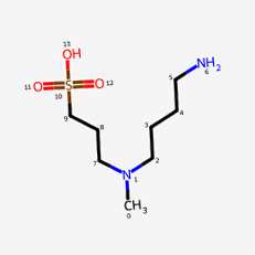 CN(CCCCN)CCCS(=O)(=O)O